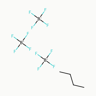 CCCC.F[B-](F)(F)F.F[B-](F)(F)F.F[B-](F)(F)F